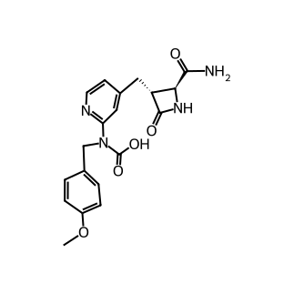 COc1ccc(CN(C(=O)O)c2cc(C[C@H]3C(=O)N[C@@H]3C(N)=O)ccn2)cc1